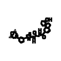 C[C@@H]1CN(c2cccc(-c3csc(NC(=O)CNC(=O)c4ccc5c(c4)[C@]4(CCC[C@@H]4O)CC5)n3)c2)C[C@H](C)O1